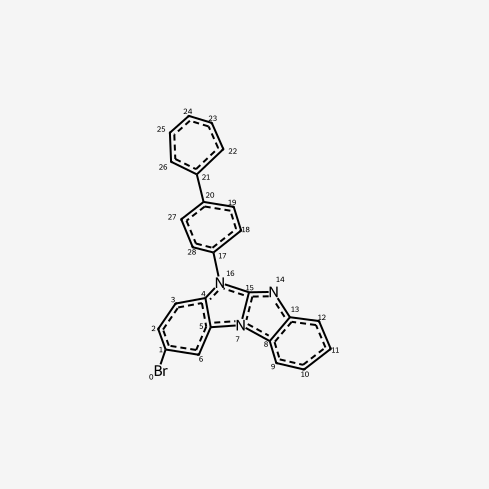 Brc1ccc2c(c1)n1c3ccccc3nc1n2-c1ccc(-c2ccccc2)cc1